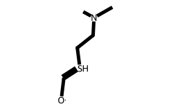 CN(C)CC[SH]=C[O]